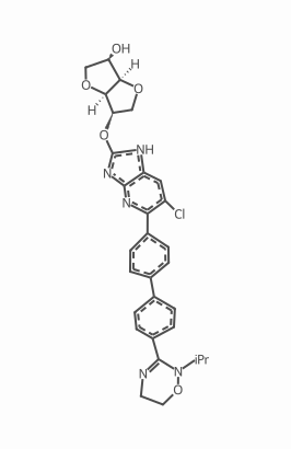 CC(C)N1OCCN=C1c1ccc(-c2ccc(-c3nc4nc(O[C@@H]5CO[C@H]6[C@@H]5OC[C@H]6O)[nH]c4cc3Cl)cc2)cc1